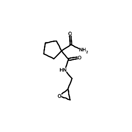 NC(=O)C1(C(=O)NCC2CO2)CCCC1